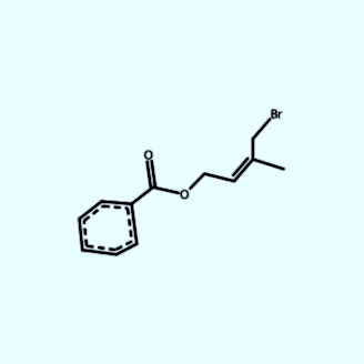 CC(=CCOC(=O)c1ccccc1)CBr